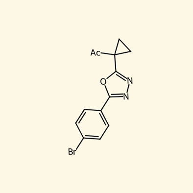 CC(=O)C1(c2nnc(-c3ccc(Br)cc3)o2)CC1